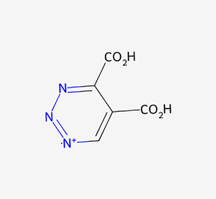 O=C(O)C1=C[N+]=NN=C1C(=O)O